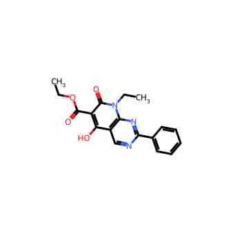 CCOC(=O)c1c(O)c2cnc(-c3ccccc3)nc2n(CC)c1=O